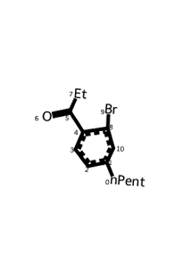 CCCCCc1ccc(C(=O)CC)c(Br)c1